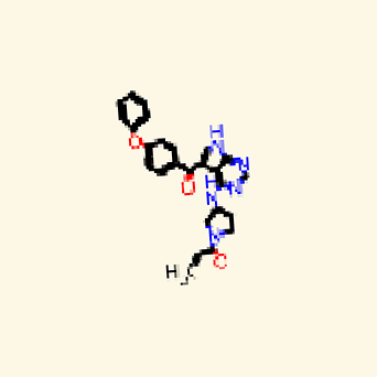 C=CC(=O)N1CCC(Nc2ncnc3[nH]cc(C(=O)c4ccc(Oc5ccccc5)cc4)c23)C1